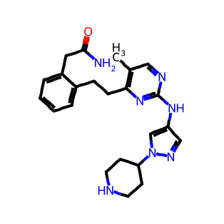 Cc1cnc(Nc2cnn(C3CCNCC3)c2)nc1CCc1ccccc1CC(N)=O